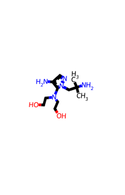 CC(C)(N)Cn1ncc(N)c1N(CCO)CCO